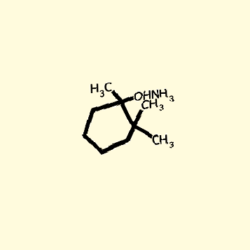 CC1(C)CCCCC1(C)O.N